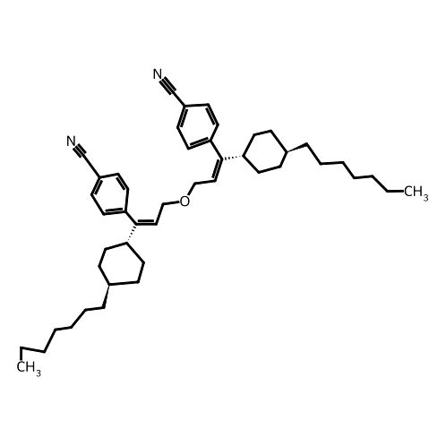 CCCCCCC[C@H]1CC[C@H](C(=CCOCC=C(c2ccc(C#N)cc2)[C@H]2CC[C@H](CCCCCCC)CC2)c2ccc(C#N)cc2)CC1